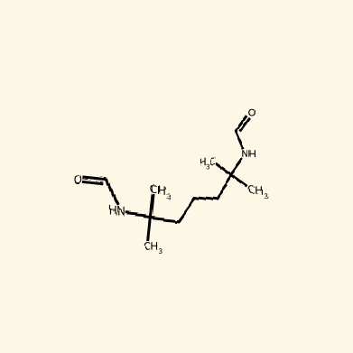 CC(C)(CCCC(C)(C)NC=O)NC=O